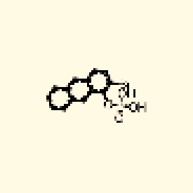 O=P(O)(O)Oc1c(Br)ccc2cc3ccccc3cc12